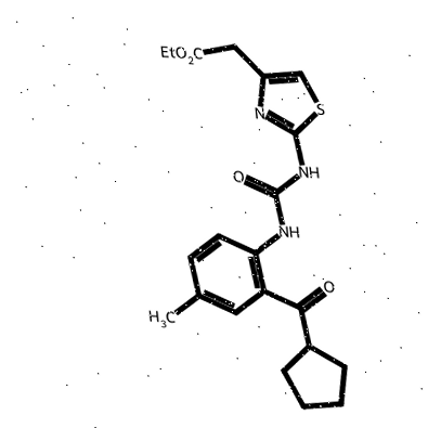 CCOC(=O)Cc1csc(NC(=O)Nc2ccc(C)cc2C(=O)C2CCCC2)n1